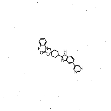 O=C1OC2(CCC(c3nc4cc(-c5cncnc5)ccc4[nH]3)CC2)CN1c1ccccc1F